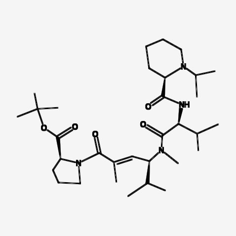 C/C(=C\[C@H](C(C)C)N(C)C(=O)[C@@H](NC(=O)[C@H]1CCCCN1C(C)C)C(C)C)C(=O)N1CCC[C@H]1C(=O)OC(C)(C)C